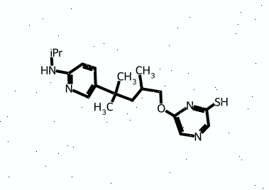 CC(COc1cncc(S)n1)CC(C)(C)c1ccc(NC(C)C)nc1